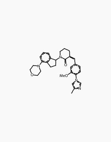 COc1cc(C=C2CCCN(C3CCc4c3cccc4N3CCOCC3)C2=O)ccc1-n1cnc(C)c1